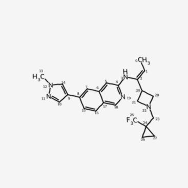 C/C=C(\Nc1cc2cc(-c3cnn(C)c3)ccc2cn1)C1CN(CC2(C(F)(F)F)CC2)C1